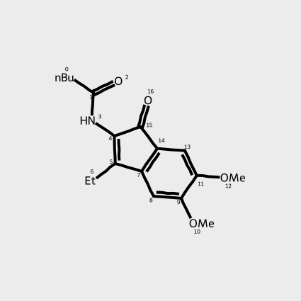 CCCCC(=O)NC1=C(CC)c2cc(OC)c(OC)cc2C1=O